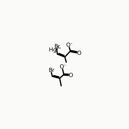 CC(=CBr)C(=O)[O-].CC(=CBr)C(=O)[O-].[Hg+2]